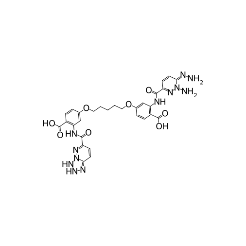 N/N=c1/ccc(C(=O)Nc2cc(OCCCCCOc3ccc(C(=O)O)c(NC(=O)C4=NN5NNN=C5C=C4)c3)ccc2C(=O)O)nn1N